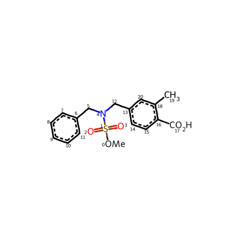 COS(=O)(=O)N(Cc1ccccc1)Cc1ccc(C(=O)O)c(C)c1